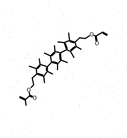 C=CC(=O)OCCc1c(C)c(C)c(-c2c(C)c(C)c(-c3c(C)c(C)c(CCOC(=O)C(=C)C)c(C)c3C)c(C)c2C)c(C)c1C